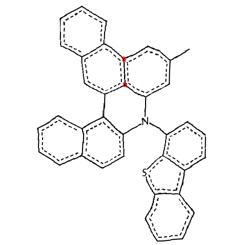 Cc1cccc(N(c2ccc3ccccc3c2-c2ccc3ccccc3c2)c2cccc3c2sc2ccccc23)c1